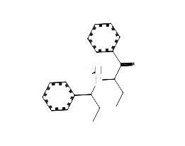 CCC(C(=O)c1ccccc1)[PH](=O)C(CC)c1ccccc1